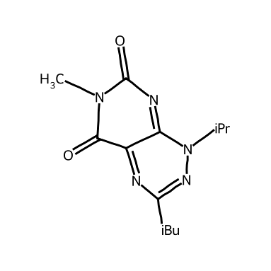 CCC(C)c1nc2c(=O)n(C)c(=O)nc-2n(C(C)C)n1